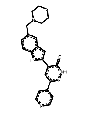 O=c1[nH]nc(-c2ccncc2)cc1-c1cc2cc(CN3CCSCC3)ccc2[nH]1